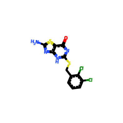 Nc1nc2[nH]c(SCc3cccc(Cl)c3Cl)nc(=O)c2s1